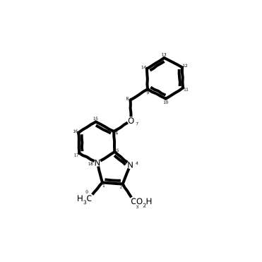 Cc1c(C(=O)O)nc2c(OCc3ccccc3)cccn12